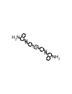 Nc1ccc(/N=N/c2ccc(N3CCN(c4ccc(/N=N/c5ccc(N)c6ccccc56)cc4)CC3)cc2)c2ccccc12